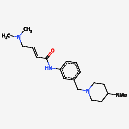 CNC1CCN(Cc2cccc(NC(=O)/C=C/CN(C)C)c2)CC1